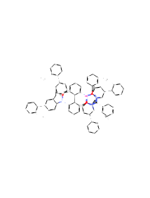 N#Cc1ccccc1-c1ccc2c(c1)c1cc(-c3ccccc3C#N)ccc1n2-c1cccc(-c2nc(-c3ccccc3)nc(-c3ccccc3)n2)c1-c1c(-n2c3ccc(-c4ccccc4C#N)cc3c3cc(-c4ccccc4C#N)ccc32)cccc1C(F)(F)F